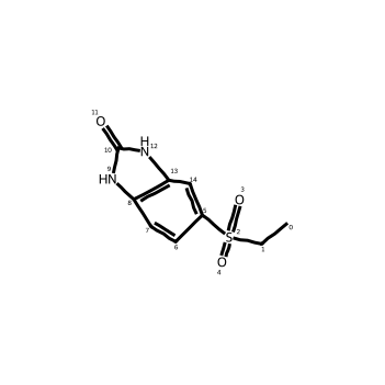 CCS(=O)(=O)c1ccc2[nH]c(=O)[nH]c2c1